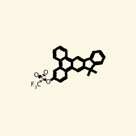 CC1(C)c2ccccc2-c2cc3c4ccccc4c4cc(OS(=O)(=O)C(F)(F)F)ccc4c3cc21